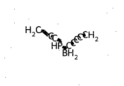 BC(=C=C=C=C=C)PC=C=C=C=C=C